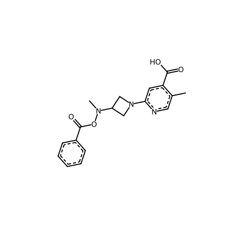 Cc1cnc(N2CC(N(C)OC(=O)c3ccccc3)C2)cc1C(=O)O